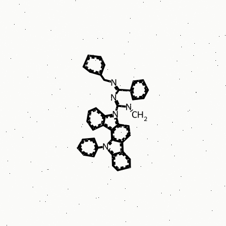 C=N/C(=N\C(=N/Cc1ccccc1)c1ccccc1)n1c2ccccc2c2c1ccc1c3ccccc3n(-c3ccccc3)c12